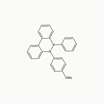 COc1ccc(N2B(c3ccccc3)c3ccccc3-c3ccccc32)cc1